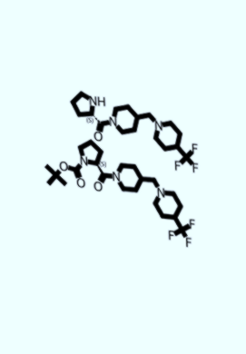 CC(C)(C)OC(=O)N1CCC[C@H]1C(=O)N1CCC(CN2CCC(C(F)(F)F)CC2)CC1.O=C([C@@H]1CCCN1)N1CCC(CN2CCC(C(F)(F)F)CC2)CC1